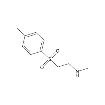 CNCCS(=O)(=O)c1ccc(C)cc1